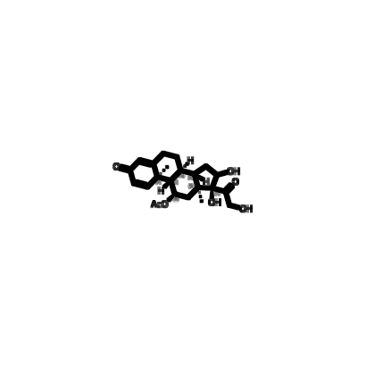 CC(=O)O[C@@H]1C[C@@]2(C)[C@@H](CC(O)[C@]2(O)C(=O)CO)[C@@H]2CCC3=CC(=O)C=C[C@]3(C)[C@H]21